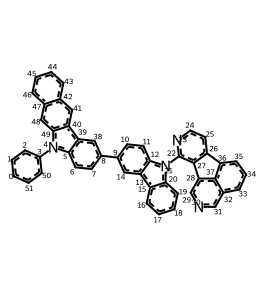 c1ccc(-n2c3ccc(-c4ccc5c(c4)c4ccccc4n5-c4nccc5c4-c4cncc6cccc-5c46)cc3c3cc4ccccc4cc32)cc1